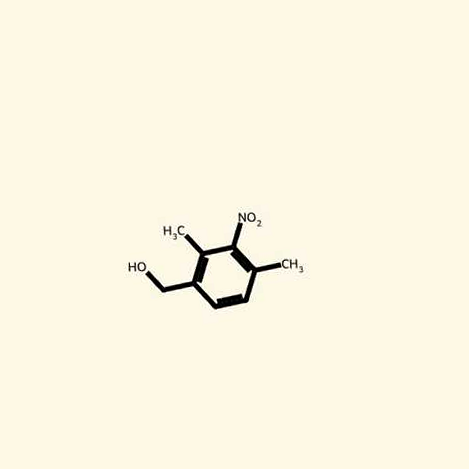 Cc1ccc(CO)c(C)c1[N+](=O)[O-]